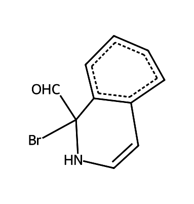 O=CC1(Br)NC=Cc2ccccc21